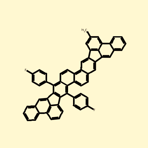 Cc1cc2c3c(cc4ccccc4c3c1)-c1cc3ccc4c(ccc5c(-c6ccc(F)cc6)c6c(c(-c7ccc(F)cc7)c54)-c4cccc5c4c-6cc4ccccc45)c3cc1-2